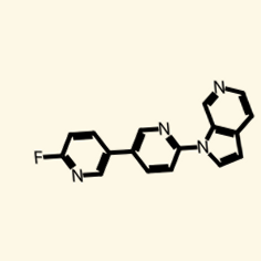 Fc1ccc(-c2ccc(-n3ccc4ccncc43)nc2)cn1